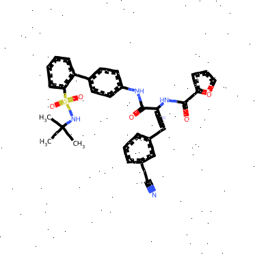 CC(C)(C)NS(=O)(=O)c1ccccc1-c1ccc(NC(=O)/C(=C\c2cccc(C#N)c2)NC(=O)c2ccco2)cc1